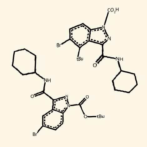 CC(C)(C)OC(=O)n1nc(C(=O)NC2CCCCC2)c2cc(Br)ccc21.CC(C)(C)c1c(Br)ccc2c1c(C(=O)NC1CCCCC1)nn2C(=O)O